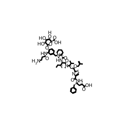 C=C(C)CO[C@H](C[C@H](C(C)C)N(C)C(=O)[C@@H](NC(=O)[C@H]1CCCC[N+]1(C)Cc1ccc(O[C@@H]2O[C@H](C(=O)O)[C@@H](O)[C@H](O)[C@H]2O)c(NC(=O)CCN)c1)[C@@H](C)CC)c1nc(C(=O)N[C@@H](Cc2ccccc2)C[C@H](C)C(=O)O)cs1